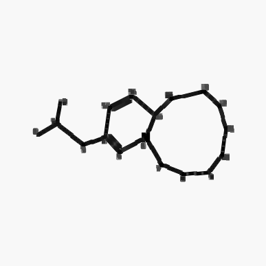 CC(C)CC1=CN2CCCCCCCCC2C=C1